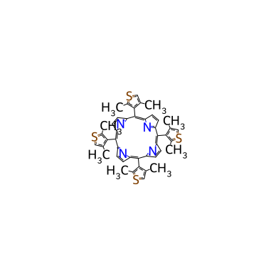 Cc1csc(C)c1C1=C2C=CC(=N2)C(c2c(C)csc2C)=C2C=CC(=N2)C(c2c(C)csc2C)=C2C=CC(=N2)C(c2c(C)csc2C)=C2C=CC1=N2